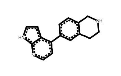 c1cc(-c2ccc3c(c2)CCNC3)c2cc[nH]c2n1